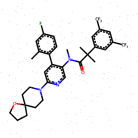 Cc1cc(F)ccc1-c1cc(N2CCC3(CCCO3)CC2)ncc1N(C)C(=O)C(C)(C)c1cc(C(F)(F)F)cc(C(F)(F)F)c1